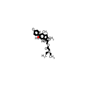 CCN(CC)CC(=O)OCC(=O)[C@@]1(O)[C@H](C)CC2C(C)[C@@](F)(C3(C)C=CC(=O)C=C3)[C@@H](O)C[C@@]21C